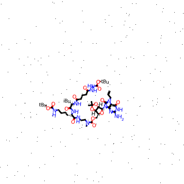 C=CCn1c(=O)n([C@H]2O[C@@H](COC(=O)N(C)CCNC(=O)[C@H](CCCCNC(=O)OC(C)(C)C)NC(=O)[C@@H](NC(=O)CCCC(=O)NNC(=O)OC(C)(C)C)C(C)CC)[C@@H]3OC(C)(C)O[C@@H]32)c2nc(N)[nH]c(=O)c21